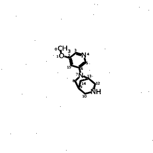 COc1cncc(N2CC3CNCC2C3)c1